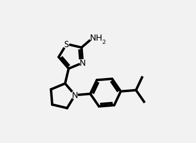 CC(C)c1ccc(N2CCCC2c2csc(N)n2)cc1